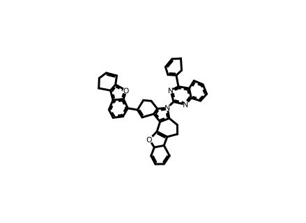 C1=CCCC(c2nc(-n3c4c(c5c3CCC3=C5OC5C=CC=CC35)C=C(c3cccc5c6c(oc35)C=CCC6)CC4)nc3ccccc23)=C1